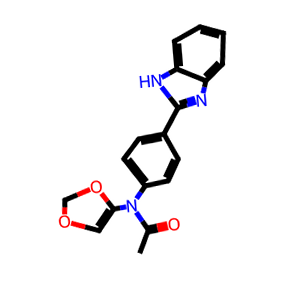 CC(=O)N(C1=COCO1)c1ccc(-c2nc3ccccc3[nH]2)cc1